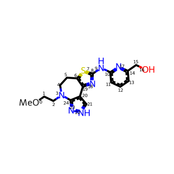 COCCN1CCc2sc(Nc3cccc(CO)n3)nc2-c2c[nH]nc21